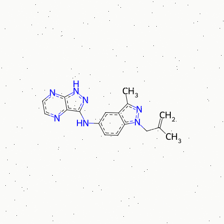 C=C(C)Cn1nc(C)c2cc(Nc3n[nH]c4nccnc34)ccc21